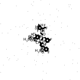 Cn1nc(NS(C)(=O)=O)c2c(Cl)ccc(N3Cc4ccc(-c5ccc(F)cc5S(C)(=O)=O)nc4N=C3[C@H](Cc3cc(F)cc(F)c3)NC(=O)Cn3nc(C(F)F)c4c3C(F)(F)[C@@H]3C[C@H]43)c21